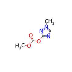 COC(=O)Oc1ncn(C)n1